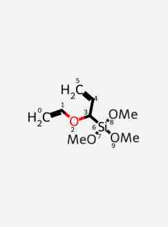 C=COC(C=C)[Si](OC)(OC)OC